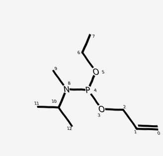 C=CCOP(OCC)N(C)C(C)C